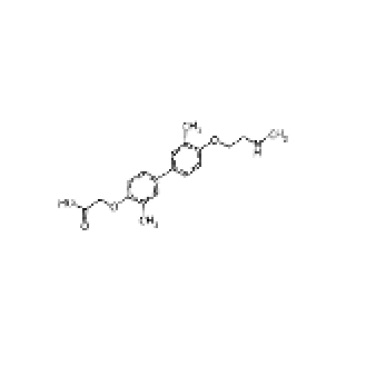 CNCCOc1ccc(-c2ccc(OCC(=O)O)c(C)c2)cc1C